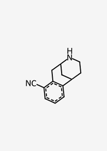 N#Cc1cccc2c1CC1CC2CCN1